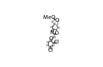 COC(=O)Cc1ccc2oc(COc3ccc(Cl)cc3Cl)nc2c1